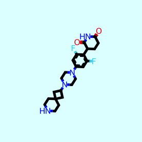 O=C1CCC(c2c(F)cc(N3CCN(C4CC5(CCNCC5)C4)CC3)cc2F)C(=O)N1